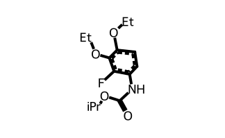 CCOc1ccc(NC(=O)OC(C)C)c(F)c1OCC